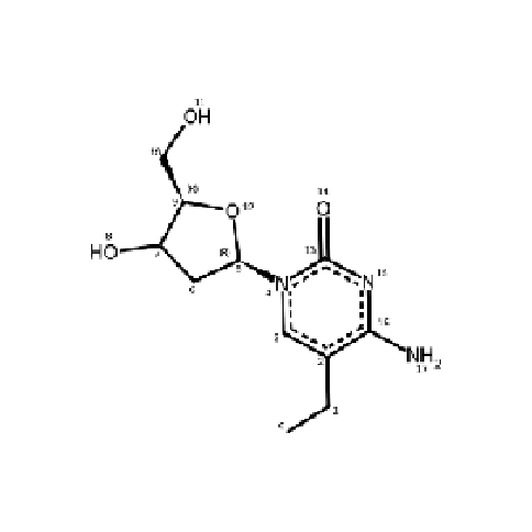 CCc1cn([C@H]2CC(O)[C@@H](CO)O2)c(=O)nc1N